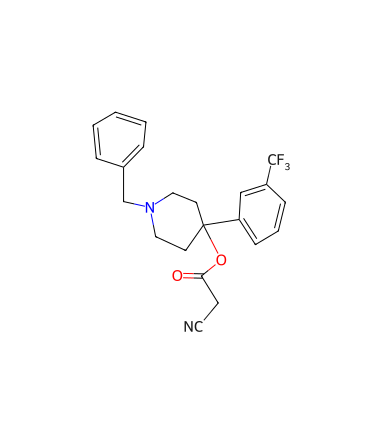 N#CCC(=O)OC1(c2cccc(C(F)(F)F)c2)CCN(Cc2ccccc2)CC1